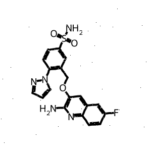 Nc1nc2ccc(F)cc2cc1OCc1cc(S(N)(=O)=O)ccc1-n1cccn1